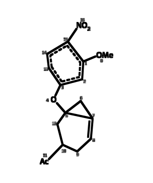 COc1cc(OC23CC2=CCC(C(C)=O)C3)ccc1[N+](=O)[O-]